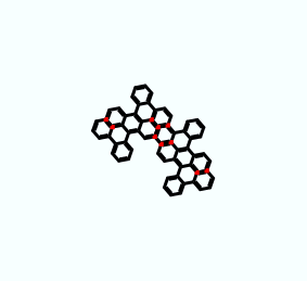 c1ccc(-c2ccccc2-c2c3ccccc3c(-c3ccccc3-c3ccccc3)c3cc(-c4ccc5c(-c6ccccc6-c6ccccc6)c6ccccc6c(-c6ccccc6-c6ccccc6)c5c4)ccc23)cc1